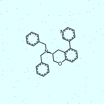 c1ccc(CN(Cc2ccccc2)[C@@H]2COc3cccc(-c4cccnc4)c3C2)cc1